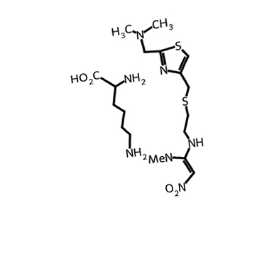 CN/C(=C\[N+](=O)[O-])NCCSCc1csc(CN(C)C)n1.NCCCCC(N)C(=O)O